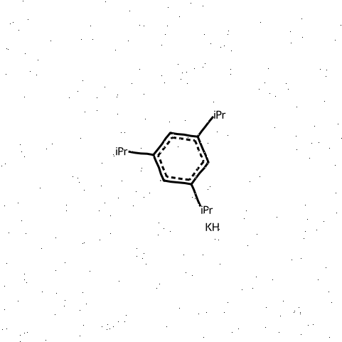 CC(C)c1[c]c(C(C)C)cc(C(C)C)c1.[KH]